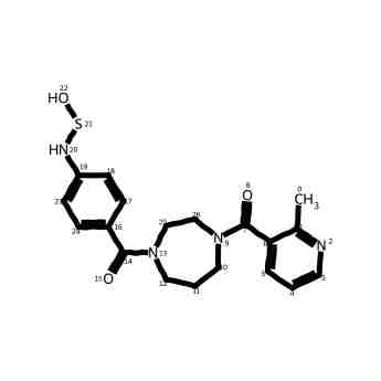 Cc1ncccc1C(=O)N1CCCN(C(=O)c2ccc(NSO)cc2)CC1